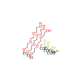 CCOCCOCCOCCO.CCOCCOCCOCCO.CCOCCOCCOCCO.O=C([O-])CS.O=C([O-])CS.O=C([O-])CS.[Sb+3]